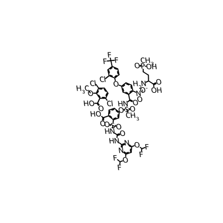 COc1c(Cl)ccc(Cl)c1C(=O)O.CP(=O)(O)CCC(N)C(=O)O.CS(=O)(=O)NC(=O)c1cc(Oc2ccc(C(F)(F)F)cc2Cl)ccc1[N+](=O)[O-].O=C(Nc1nc(OC(F)F)cc(OC(F)F)n1)NS(=O)(=O)c1ccccc1C(=O)O